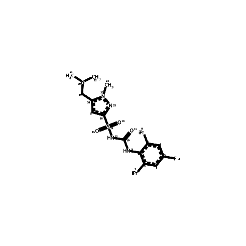 CC(C)c1cc(F)cc(C(C)C)c1NC(=O)NS(=O)(=O)c1cc(CN(C)C)n(C)n1